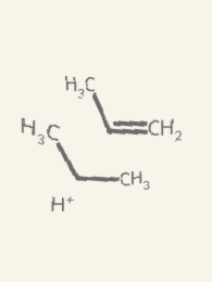 C=CC.CCC.[H+]